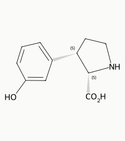 O=C(O)[C@H]1NCC[C@H]1c1cccc(O)c1